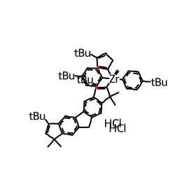 Cl.Cl.[CH2]=[Zr]([C]1=CC(C(C)(C)C)=CC1)([C]1=C(C(C)(C)C)c2cc3c(cc2C1(C)C)Cc1cc2c(cc1-3)C(C(C)(C)C)=CC2(C)C)([c]1ccc(C(C)(C)C)cc1)[c]1ccc(C(C)(C)C)cc1